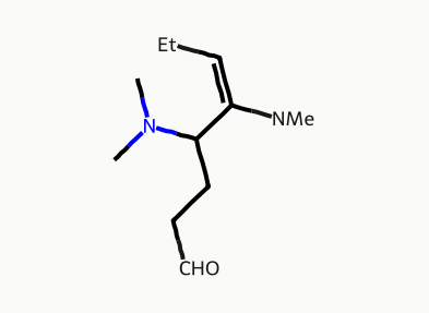 CC/C=C(/NC)C(CCC=O)N(C)C